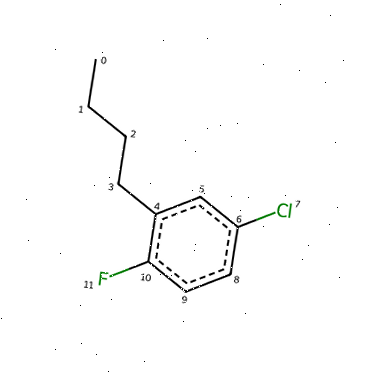 CCCCc1cc(Cl)ccc1F